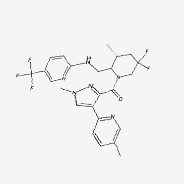 Cc1ccc(-c2cn(C)nc2C(=O)N2CC(F)(F)C[C@@H](C)C2CNc2ccc(C(F)(F)F)cn2)nc1